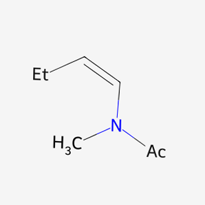 CC/C=C\N(C)C(C)=O